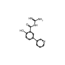 N=C(N)NC(=O)c1cc(-c2cccnc2)ccc1O